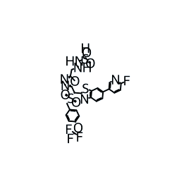 O=[SH](=O)NNCc1nnc(C(c2nc3ccc(-c4ccc(F)nc4)cc3s2)S(=O)(=O)Cc2ccc(OC(F)(F)F)cc2)o1